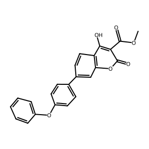 COC(=O)c1c(O)c2ccc(-c3ccc(Oc4ccccc4)cc3)cc2oc1=O